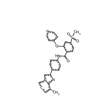 Cc1cccn2cc(-c3ccc(NC(=O)c4ccc(S(C)(=O)=O)cc4Oc4ccncc4)cc3)nc12